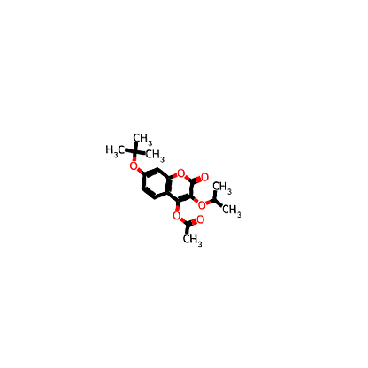 CC(=O)Oc1c(OC(C)C)c(=O)oc2cc(OC(C)(C)C)ccc12